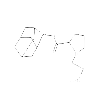 CNCCN1CCCC1C(=O)NC1C2CC3CC(C2)CC1C3